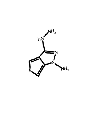 NNc1nn(N)c2cscc12